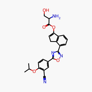 CC(C)Oc1ccc(-c2nc(-c3cccc4c3CC=C4OC(=O)C(N)CO)no2)cc1C#N